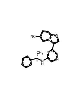 C[C@H](Nc1cncc(-c2cnc3ccc(C#N)cn23)n1)c1ccccc1